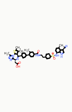 Cc1cc(C(=O)NCCc2ccc(S(=O)(=O)Nc3ccc(C)c4c(C#N)c[nH]c34)cc2)ccc1-c1ccc(C2=N[C@@H](CC(=O)O)c3nnc(C)n3-c3sc(C)c(C)c32)cc1